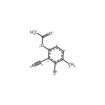 CC(=O)Oc1ccc(C)c(Br)c1C#N